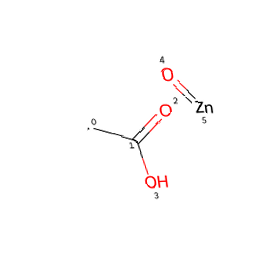 [CH2]C(=O)O.[O]=[Zn]